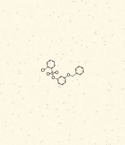 O=S(=O)(Oc1cccc(OCc2ccccc2)c1)c1ccccc1Cl